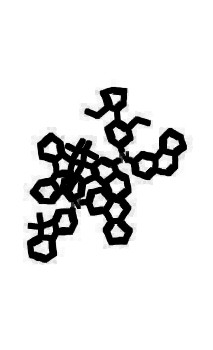 CCc1ccccc1-c1ccc(N(c2ccc3ccc4ccccc4c3c2)c2cc3c(c4ccccc24)-c2ccccc2C3(C(C)(C)C)C2(C(C)(C)C)c3ccccc3-c3c2cc(N(c2ccc4c(c2)C(C)(C)c2ccccc2-4)c2ccc4ccc5ccccc5c4c2)c2ccccc32)cc1CC